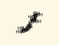 C=C[C@H](CC[C@@H](O[C@H]1C[C@@H](O)C[C@@H](CO[C@H]2O[C@H](CO)[C@@H](O)C[C@H]2O)O1)C(C)(C)O)C1CC[C@@]2(C=C)C3CC=C4C(CC[C@H](O[C@H]5C[C@@H](O)C[C@@H](CO)O5)C4(C)C)[C@]3(C)CC[C@]12C